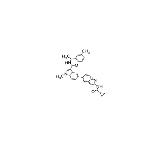 Cc1cccc([C@H](C)NC(=O)c2cn(C)c3ccc(-c4ccn5nc(NC(=O)C6CC6)cc5n4)cc23)c1